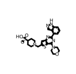 O=S(=O)(O)C1CCN(Cc2cc3nc(-c4cccc5[nH]ncc45)nc(N4CCOCC4)c3s2)CC1